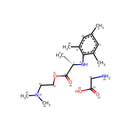 Cc1cc(C)c(N[C@@H](C)C(=O)OCCN(C)C)c(C)c1.NCC(=O)O